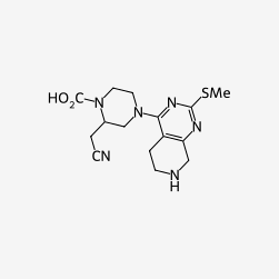 CSc1nc2c(c(N3CCN(C(=O)O)C(CC#N)C3)n1)CCNC2